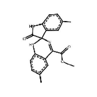 COC(=O)C1=NC2(Nc3ccc(C)cc31)C(=O)Nc1ccc(C)cc12